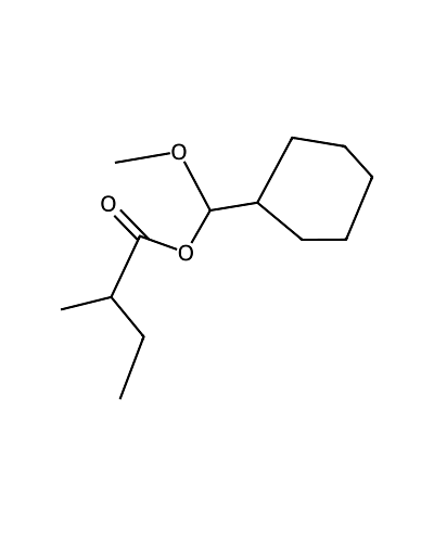 CCC(C)C(=O)OC(OC)C1CCCCC1